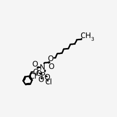 CCCCCCCCCCOC(=O)CN(CP(=O)(OCl)OCl)C(=O)OCc1ccccc1